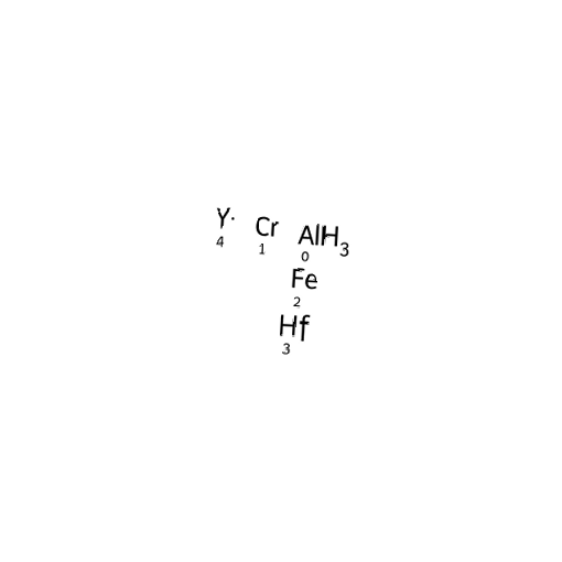 [AlH3].[Cr].[Fe].[Hf].[Y]